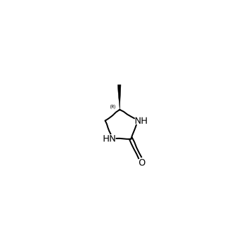 C[C@@H]1CNC(=O)N1